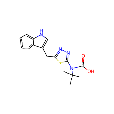 CC(C)(C)N(C(=O)O)c1nnc(Cc2c[nH]c3ccccc23)s1